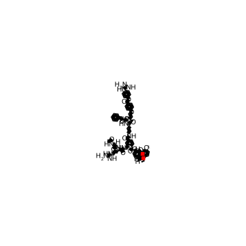 COc1ccc2c3c1O[C@H]1C(OC(=O)N4CCC(C(=O)NCCCC[C@H](NC(=O)OCc5ccccc5)C(=O)NCCOc5ccc(C(=O)Oc6ccc(NC(=N)N)cc6)cc5)CC4CNC(=O)[C@@H](CCCNC(=N)N)NC(=O)CNC(C)=O)=CC[C@H]4[C@@H](C2)N(C)CC[C@]314